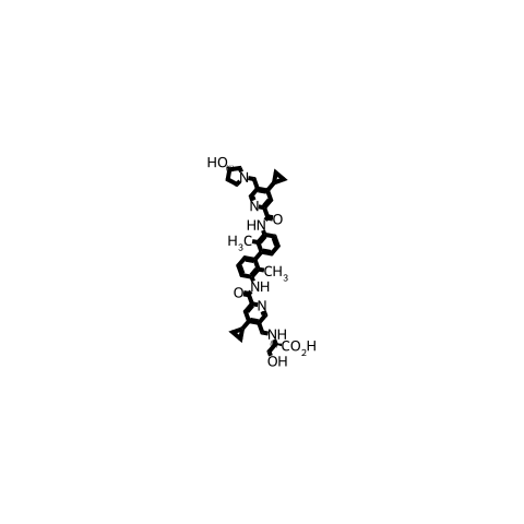 Cc1c(NC(=O)c2cc(C3CC3)c(CN[C@H](CO)C(=O)O)cn2)cccc1-c1cccc(NC(=O)c2cc(C3CC3)c(CN3CC[C@H](O)C3)cn2)c1C